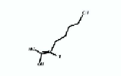 CCCCCC(Cl)=C(O)O